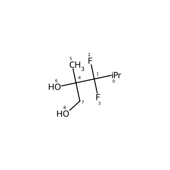 CC(C)C(F)(F)C(C)(O)CO